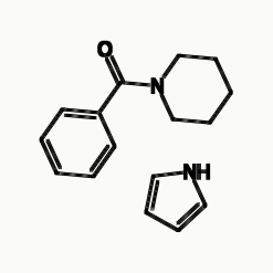 O=C(c1ccccc1)N1CCCCC1.c1cc[nH]c1